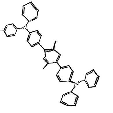 Cc1cc(-c2ccc(N(c3ccccc3)c3ccccc3)cc2)c(C)cc1-c1ccc(N(c2ccccc2)c2ccccc2)cc1